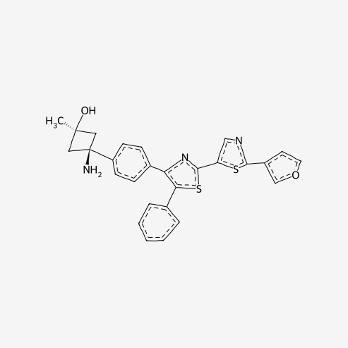 C[C@]1(O)C[C@](N)(c2ccc(-c3nc(-c4cnc(-c5ccoc5)s4)sc3-c3ccccc3)cc2)C1